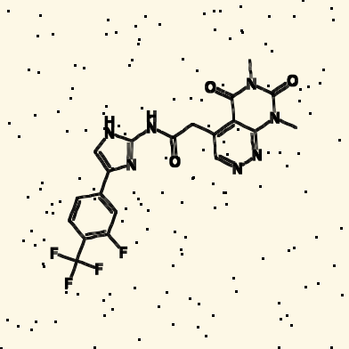 Cn1c(=O)c2c(CC(=O)Nc3nc(-c4ccc(C(F)(F)F)c(F)c4)c[nH]3)cnnc2n(C)c1=O